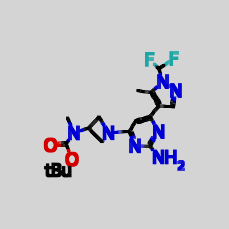 Cc1c(-c2cc(N3CC(N(C)C(=O)OC(C)(C)C)C3)nc(N)n2)cnn1C(F)F